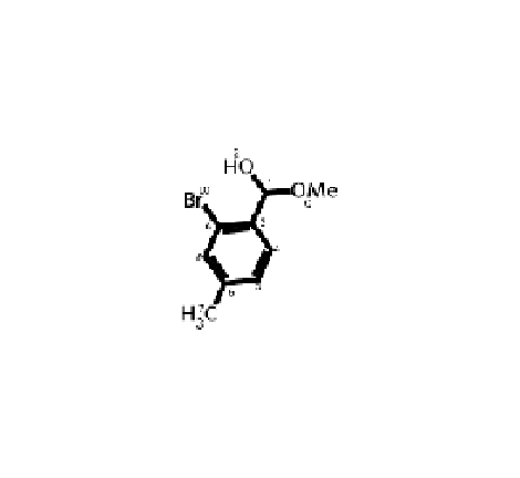 COC(O)c1ccc(C)cc1Br